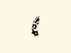 CN(C(=O)C(F)(F)C(F)(F)F)C1CCN(CC2=Cc3ccccc32)CC1